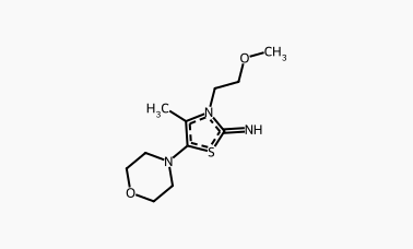 COCCn1c(C)c(N2CCOCC2)sc1=N